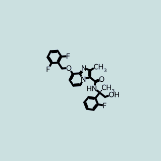 Cc1nc2c(OCc3c(F)cccc3F)cccn2c1C(=O)N[C@@](C)(CO)c1ccccc1F